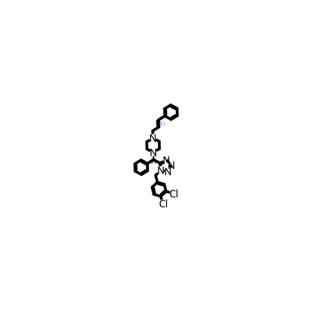 Clc1ccc(Cn2nnnc2[C@@H](c2ccccc2)N2CCN(C/C=C/c3ccccc3)CC2)cc1Cl